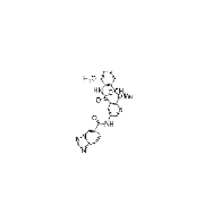 COc1ncc(NC(=O)c2ccc3ncnn3c2)cc1S(=O)(=O)Nc1c(C)cccc1C